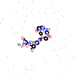 CNC(=O)C(CCC=O)N(C)Cc1cc(N2CCC(N3CC(Oc4cccc([S+]([O-])N5CCC(Nc6ncc7ccc(=O)n(C8CCCC8)c7n6)CC5)c4)C3)CC2)ccc1C=O